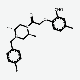 Cc1ccc(OCC(=O)N2C[C@@H](C)N(Cc3ccc(F)cc3)C[C@@H]2C)c(C=O)c1